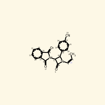 C/C=C\N1C(=O)C(N2C(=O)c3ccccc3C2=O)C1c1ccc(C#N)cc1